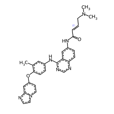 Cc1cc(Nc2ncnc3ccc(NC(=O)/C=C/CN(C)C)cc23)ccc1Oc1ccn2ccnc2c1